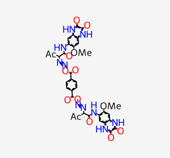 COc1cc2[nH]c(=O)c(=O)[nH]c2cc1NC(=O)C(/N=N/OC(=O)c1ccc(C(=O)O/N=N/C(C(C)=O)C(=O)Nc2cc3[nH]c(=O)c(=O)[nH]c3cc2OC)cc1)C(C)=O